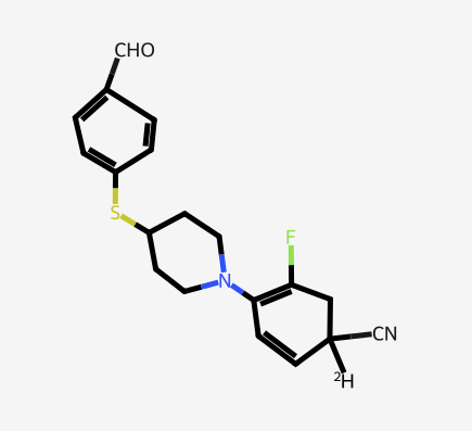 [2H]C1(C#N)C=CC(N2CCC(Sc3ccc(C=O)cc3)CC2)=C(F)C1